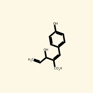 C=CC(O)C(=Cc1ccc(O)cc1)C(=O)O